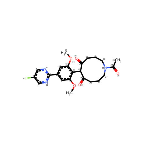 COc1cc(-c2ncc(F)cn2)cc(OC)c1C1C(=O)CCCN(C(C)=O)CCCC1=O